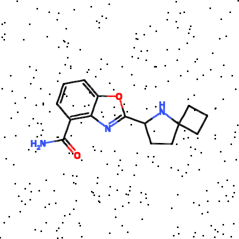 NC(=O)c1cccc2oc(C3CCC4(CCC4)N3)nc12